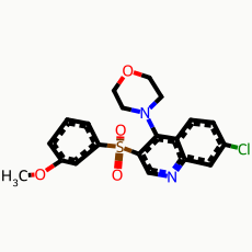 COc1cccc(S(=O)(=O)c2cnc3cc(Cl)ccc3c2N2CCOCC2)c1